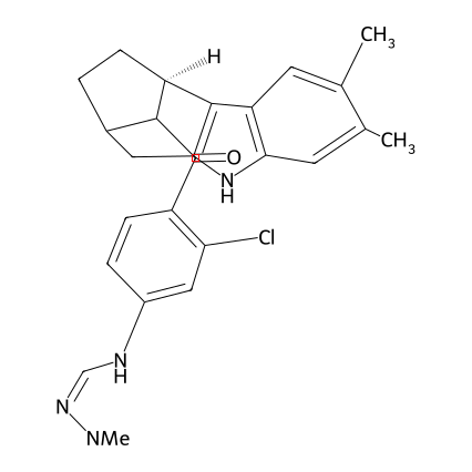 CN/N=C\Nc1ccc(C(=O)C2C3CC[C@H]2c2c([nH]c4cc(C)c(C)cc24)C3)c(Cl)c1